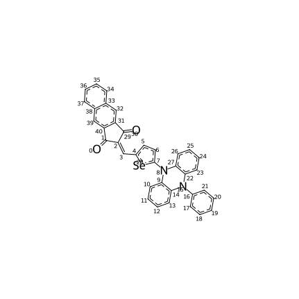 O=C1C(=Cc2ccc(N3c4ccccc4N(c4ccccc4)c4ccccc43)[se]2)C(=O)c2cc3ccccc3cc21